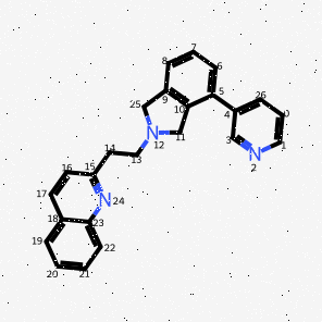 c1cncc(-c2cccc3c2CN(CCc2ccc4ccccc4n2)C3)c1